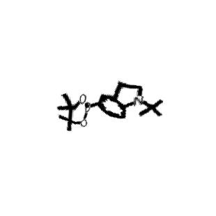 CC(C)(C)N1CCc2cc(B3OC(C)(C)C(C)(C)O3)ccc21